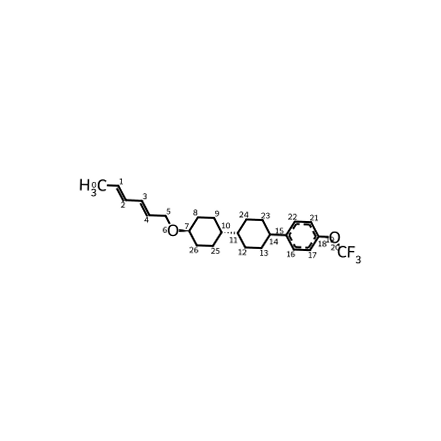 C/C=C/C=C/CO[C@H]1CC[C@H](C2CCC(c3ccc(OC(F)(F)F)cc3)CC2)CC1